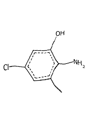 Cc1cc(Cl)cc(O)c1N